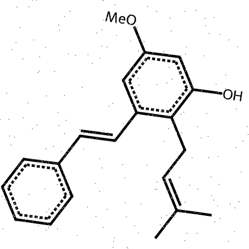 COc1cc(O)c(CC=C(C)C)c(C=Cc2ccccc2)c1